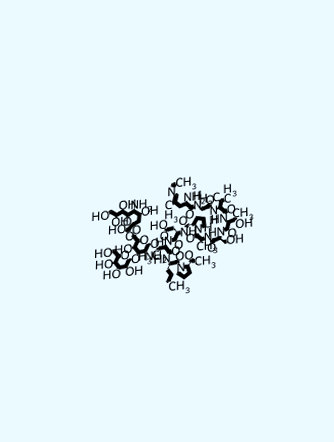 C/C=N\C=C(/C)C[C@H](N)C(=O)NCC(=O)N[C@H](C(=O)N[C@H](C(=O)N[C@@H](CO)C(=O)N[C@@H](C)C(=O)N1CCC[C@H]1C(=O)N[C@@H](CC(=O)O)C(=O)N[C@H](C(=O)N[C@@H](CCCC)C(=O)N1CCC[C@H]1C(C)=O)C(C)O[C@H]1OC(CO[C@]2(C(=O)O)C[C@@H](O)[C@@H](N)C([C@H](O)[C@H](O)CO)O2)[C@H](O)[C@H](O[C@@H]2OC(CO)[C@H](O)C(O)[C@@H]2O)C1N)C(C)O)C(C)C